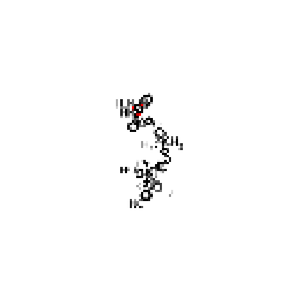 CC(C)[C@@H](C(=O)N1C[C@H](O)C[C@H]1C(=O)N[C@@H](C)c1ccc(C#N)cc1)c1cc(O[C@H]2C[C@H](C(C)(C)N3CCC(O[C@H]4C[C@H](Oc5cc(N6C7CCC6CN(c6cc(-c8ccccc8O)[nH]c6N)C7)ccn5)C4)CC3)C2)no1